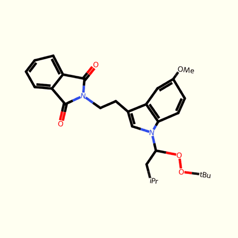 COc1ccc2c(c1)c(CCN1C(=O)c3ccccc3C1=O)cn2C(CC(C)C)OOC(C)(C)C